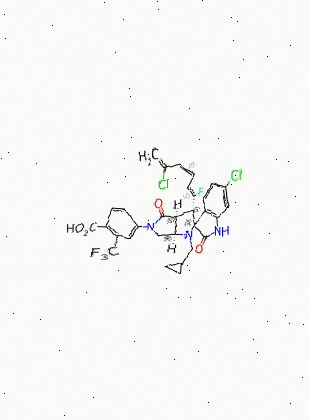 C=C(Cl)/C=C\C=C(/F)[C@H]1[C@@H]2C(=O)N(c3ccc(C(=O)O)c(C(F)(F)F)c3)C[C@@H]2N(CC2CC2)[C@@]12C(=O)Nc1cc(Cl)ccc12